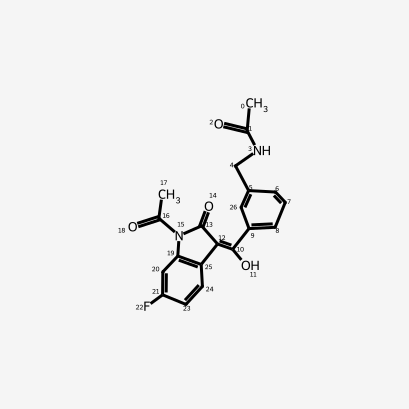 CC(=O)NCc1cccc(C(O)=C2C(=O)N(C(C)=O)c3cc(F)ccc32)c1